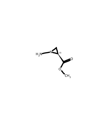 COC(=O)[C@@H]1CN1N